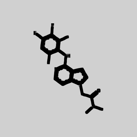 Cc1cc(F)c(F)c(C)c1Nc1nccc2c1ccn2CC(=O)N(C)C